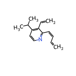 C=C/C=C\c1nccc(C(C)C)c1C=C